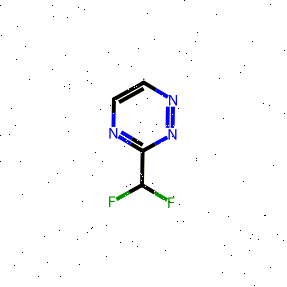 FC(F)c1nc[c]nn1